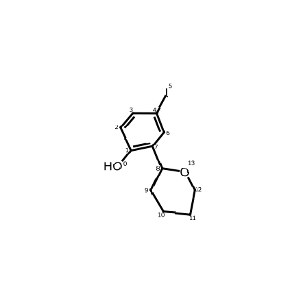 Oc1ccc(I)cc1C1CCCCO1